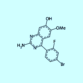 COc1cc2c(-c3ccc(Br)cc3F)nc(N)nc2cc1O